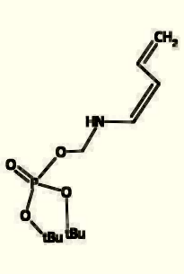 C=C/C=C\NCOP(=O)(OC(C)(C)C)OC(C)(C)C